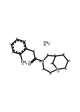 Cc1ccccc1CC(=O)N1CCN2CCCC(C2)C1.[CH2]